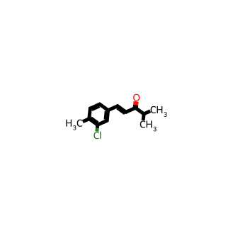 Cc1ccc(/C=C/C(=O)C(C)C)cc1Cl